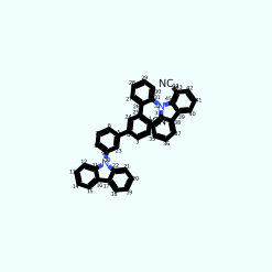 N#Cc1ccc(-c2cccc(-n3c4ccccc4c4ccccc43)c2)cc1-c1ccccc1-n1c2ccccc2c2cccc(C#N)c21